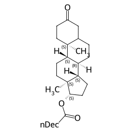 CCCCCCCCCCC(=O)O[C@H]1CC[C@H]2[C@@H]3CCC4CC(=O)CC[C@]4(C)[C@H]3CC[C@]12C